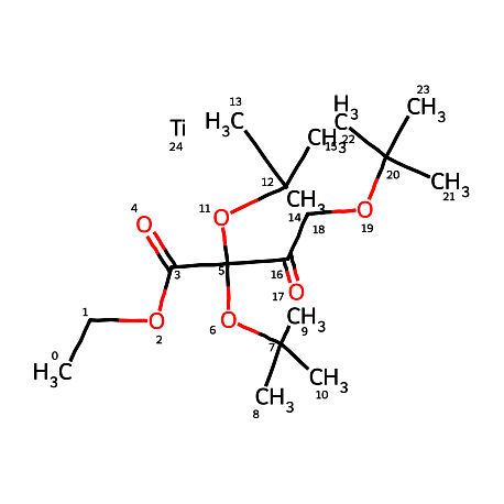 CCOC(=O)C(OC(C)(C)C)(OC(C)(C)C)C(=O)COC(C)(C)C.[Ti]